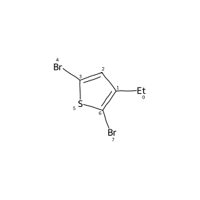 CCc1cc(Br)sc1Br